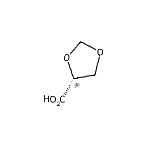 O=C(O)[C@H]1COCO1